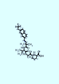 CC(NC(=O)C(NC(=O)C(C)(C)/C=C/c1ccc2ccc(CC(F)(F)F)nc2c1)C(C)C)C(=O)N1CCCC(C(=O)O)N1